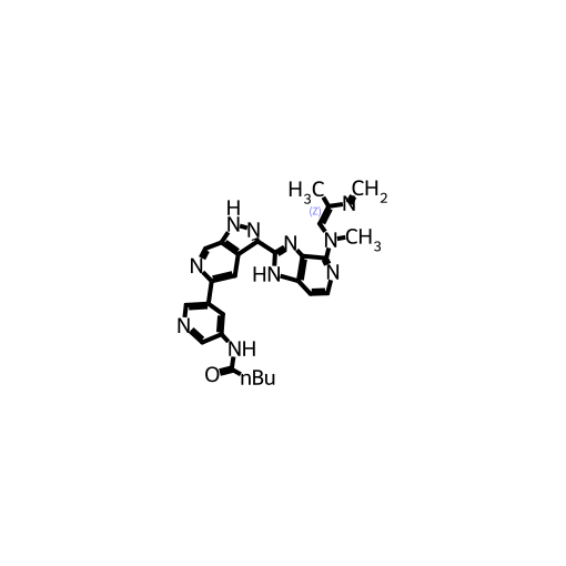 C=N/C(C)=C\N(C)c1nccc2[nH]c(-c3n[nH]c4cnc(-c5cncc(NC(=O)CCCC)c5)cc34)nc12